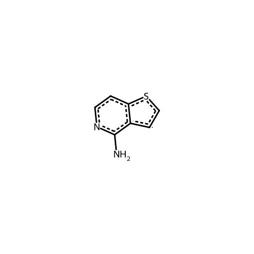 Nc1nccc2sc[c]c12